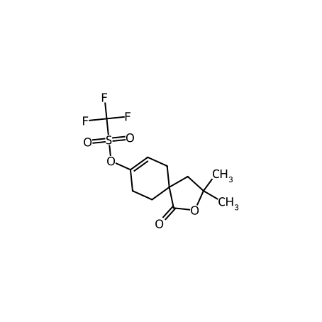 CC1(C)CC2(CC=C(OS(=O)(=O)C(F)(F)F)CC2)C(=O)O1